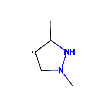 CC1[CH]CN(C)N1